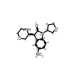 O=C1/C(=C2/COCCN2)c2cc([N+](=O)[O-])ccc2N1C1CCOC1